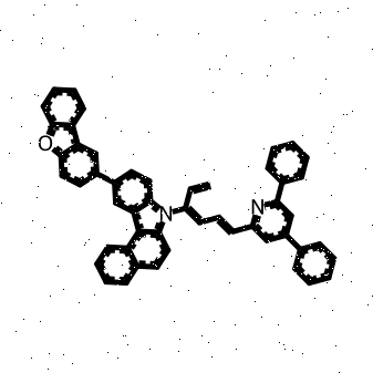 C=C/C(=C\C=C\c1cc(-c2ccccc2)cc(-c2ccccc2)n1)n1c2ccc(-c3ccc4oc5ccccc5c4c3)cc2c2c3ccccc3ccc21